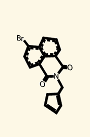 O=C1c2cccc3c(Br)ccc(c23)C(=O)N1CC1=CC=CC1